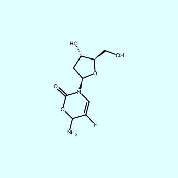 NC1OC(=O)N([C@H]2C[C@H](O)[C@@H](CO)O2)C=C1F